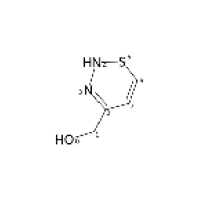 OCC1=NNSC=C1